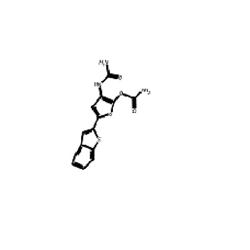 NC(=O)Nc1cc(-c2cc3ccccc3s2)sc1OC(N)=O